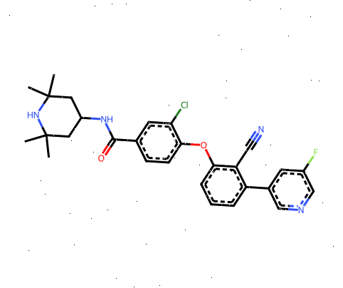 CC1(C)CC(NC(=O)c2ccc(Oc3cccc(-c4cncc(F)c4)c3C#N)c(Cl)c2)CC(C)(C)N1